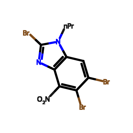 CCCn1c(Br)nc2c([N+](=O)[O-])c(Br)c(Br)cc21